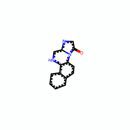 O=c1cnc2c[nH]c3c4ccccc4ccc3n1-2